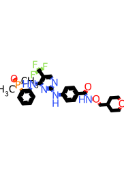 CP(C)(=O)c1ccccc1Nc1nc(Nc2ccc(C(=O)NOCC3CCOCC3)cc2)ncc1C(F)(F)F